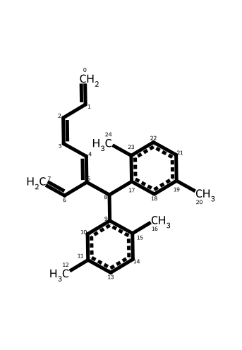 C=C/C=C\C=C(/C=C)C(c1cc(C)ccc1C)c1cc(C)ccc1C